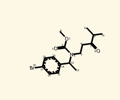 COC(=O)N(CCC(=O)C(C)C)C(C)c1ccc(Br)cc1